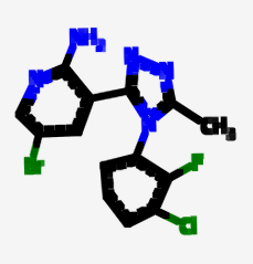 Cc1nnc(-c2cc(Br)cnc2N)n1-c1cccc(Cl)c1F